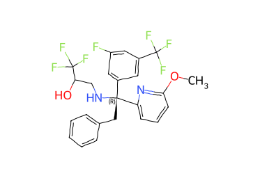 COc1cccc([C@](Cc2ccccc2)(NCC(O)C(F)(F)F)c2cc(F)cc(C(F)(F)F)c2)n1